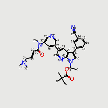 CC(OC(=O)C(C)(C)C)n1cc(-c2cccc(C#N)c2)c2cc(-c3cncc(N(C)C(=O)C=CCN(C)C)c3)cnc21